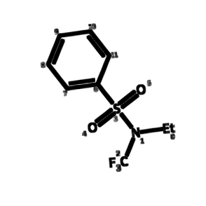 [CH2]CN(C(F)(F)F)S(=O)(=O)c1ccccc1